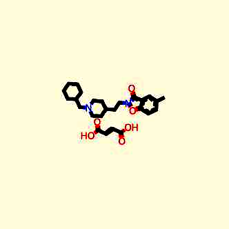 Cc1ccc2on(CCC3CCN(CC4CCCCC4)CC3)c(=O)c2c1.O=C(O)C=CC(=O)O